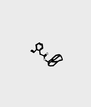 C=Cc1ccccc1CC(=O)OC1C2CC3CC(C2)CC1C3